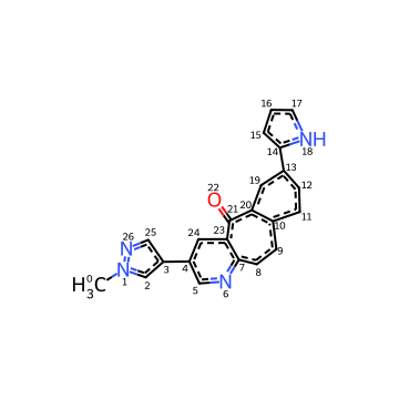 Cn1cc(-c2cnc3ccc4ccc(-c5ccc[nH]5)cc4c(=O)c3c2)cn1